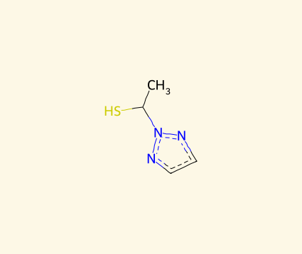 CC(S)n1nccn1